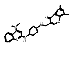 Cc1cc(C)c2occ(CNC3CCC(Nc4cc(N(C)C)c5ccccc5n4)CC3)c(=O)c2c1